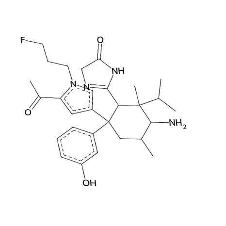 CC(=O)c1cc(C2(c3cccc(O)c3)CC(C)C(N)C(C)(C(C)C)C2C2=NCC(=O)N2)cn1CCCF